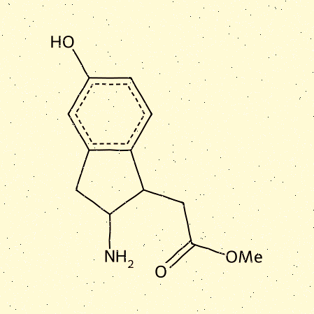 COC(=O)CC1c2ccc(O)cc2CC1N